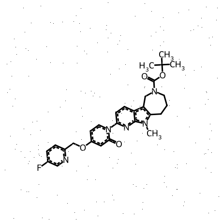 Cn1c2c(c3ccc(-n4ccc(OCc5ccc(F)cn5)cc4=O)nc31)CN(C(=O)OC(C)(C)C)CCC2